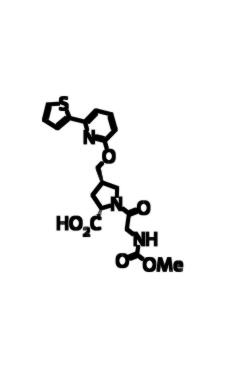 COC(=O)NCC(=O)N1C[C@H](COc2cccc(-c3cccs3)n2)C[C@H]1C(=O)O